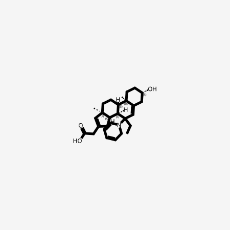 CCC1(N2C=CC=CC2)C=C2C[C@@H](O)CC[C@]2(C)[C@H]2CC[C@]3(C)C=C(CC(=O)O)C[C@H]3[C@@H]21